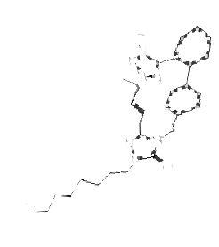 CCC=Cc1nn(CCCCCCCC)c(=O)n1Cc1ccc(-c2ccccc2-c2nnn[nH]2)cc1